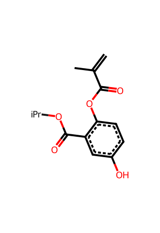 C=C(C)C(=O)Oc1ccc(O)cc1C(=O)OC(C)C